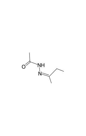 CC/C(C)=N\NC(C)=O